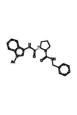 CC(=O)n1cc(NC(=O)[C@@H]2CCCN2C(=O)NCc2ccccc2)c2ccccc21